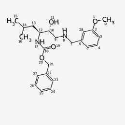 COc1cccc(CNC[C@@H](O)[C@H](CC(C)C)NC(=O)OCc2ccccc2)c1